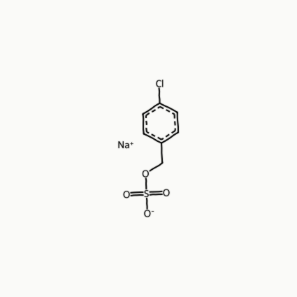 O=S(=O)([O-])OCc1ccc(Cl)cc1.[Na+]